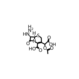 CC(=O)OC(C(=O)O)C1=C(C(=O)O)N2C(=O)[C@@H](NN)[C@H]2SC1